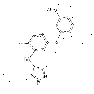 COc1cccc(Sc2nnc(C)c(Nc3cn[nH]n3)n2)c1